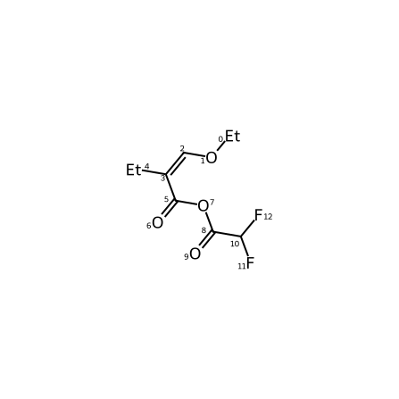 CCOC=C(CC)C(=O)OC(=O)C(F)F